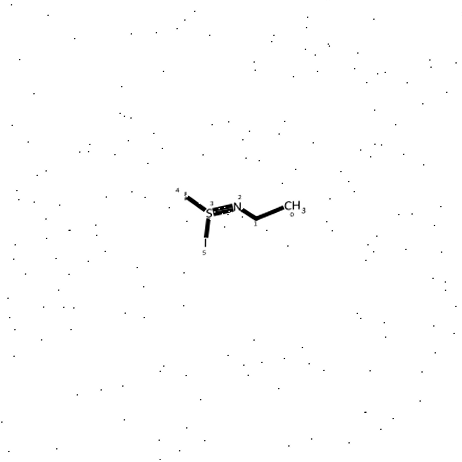 CCN=S(I)I